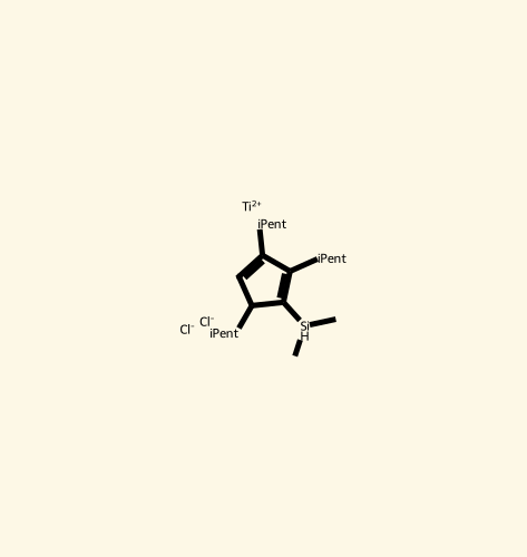 CCCC(C)C1=CC(C(C)CCC)C([SiH](C)C)=C1C(C)CCC.[Cl-].[Cl-].[Ti+2]